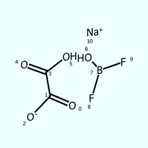 O=C([O-])C(=O)O.OB(F)F.[Na+]